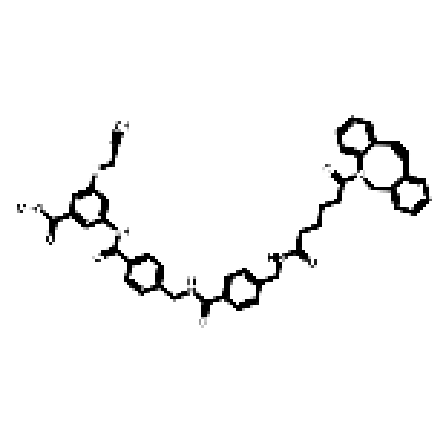 C#CCOc1cc(NC(=O)c2ccc(CNC(=O)c3ccc(CNC(=O)CCCCC(=O)N4Cc5ccccc5C#Cc5ccccc54)cc3)cc2)cc(C(=O)OC)c1